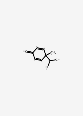 CC1(C(Cl)Cl)C=CC(=O)C=C1